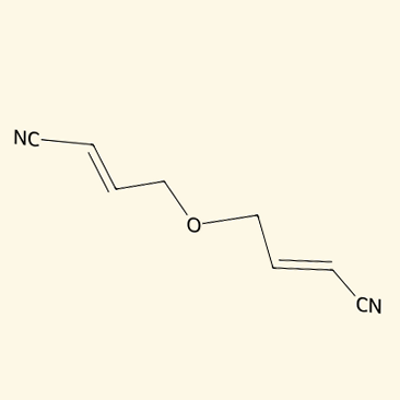 N#CC=CCOCC=CC#N